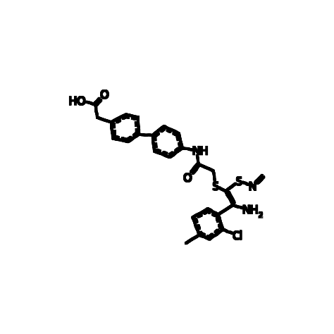 C=NS/C(SCC(=O)Nc1ccc(-c2ccc(CC(=O)O)cc2)cc1)=C(\N)c1ccc(C)cc1Cl